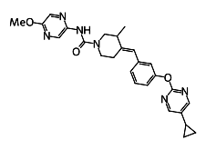 COc1cnc(NC(=O)N2CCC(=Cc3cccc(Oc4ncc(C5CC5)cn4)c3)C(C)C2)cn1